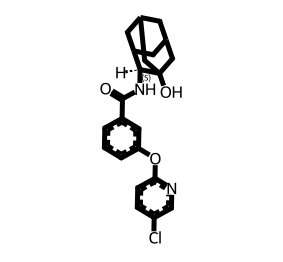 O=C(N[C@H]1C2CC3CC(C2)CC1(O)C3)c1cccc(Oc2ccc(Cl)cn2)c1